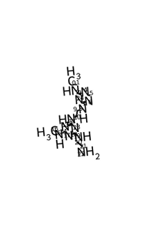 CCNc1ncnc(NCCNc2nc(NC)nc(NCCN)n2)n1